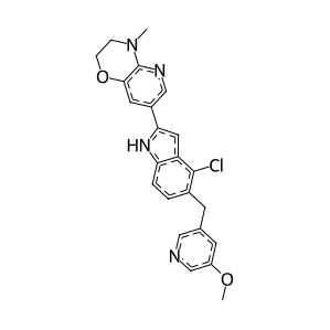 COc1cncc(Cc2ccc3[nH]c(-c4cnc5c(c4)OCCN5C)cc3c2Cl)c1